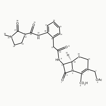 CC(=O)OCC1=C(C(=O)O)N2C(=O)C(NC(=O)Cc3ccccc3NC(=O)N3CCN(C)C3=O)[C@H]2SC1